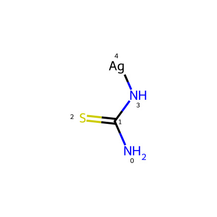 NC(=S)[NH][Ag]